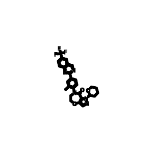 Cc1cc(-c2ncc3cc(C(F)(F)F)ccc3n2)ccc1N1CCOc2cnn(C3CCCCO3)c2C1=O